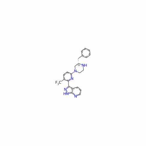 FC(F)(F)c1ccc(N2CCN[C@@H](Cc3ccccc3)C2)nc1-c1n[nH]c2ncccc12